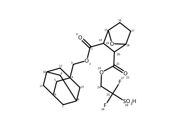 O=C(OCC12CC3CC(CC(C3)C1)C2)C1C2CCC(O2)C1C(=O)OCC(F)(F)S(=O)(=O)O